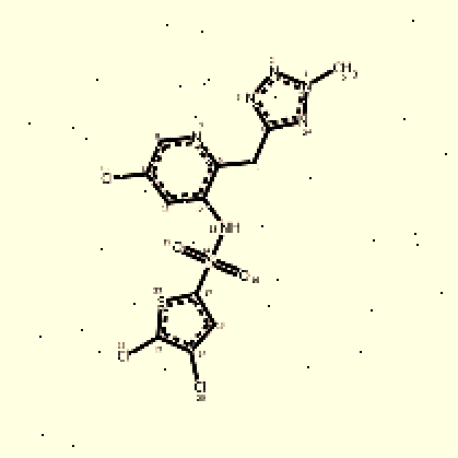 Cn1nnc(Cc2ncc(Cl)cc2NS(=O)(=O)c2cc(Cl)c(Cl)s2)n1